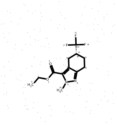 CCOC(=O)c1c2c(nn1C)CC[C@@H](C(F)(F)F)C2